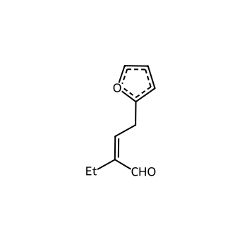 CCC(C=O)=CCc1ccco1